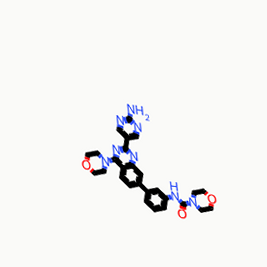 Nc1ncc(-c2nc(N3CCOCC3)c3ccc(-c4cccc(NC(=O)N5CCOCC5)c4)cc3n2)cn1